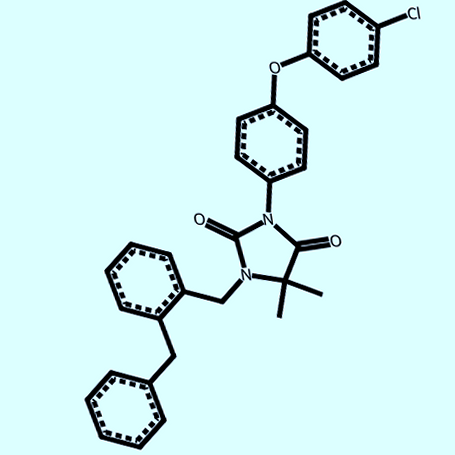 CC1(C)C(=O)N(c2ccc(Oc3ccc(Cl)cc3)cc2)C(=O)N1Cc1ccccc1Cc1ccccc1